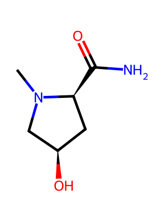 CN1C[C@H](O)C[C@@H]1C(N)=O